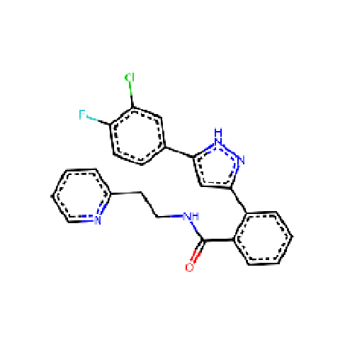 O=C(NCCc1ccccn1)c1ccccc1-c1cc(-c2ccc(F)c(Cl)c2)[nH]n1